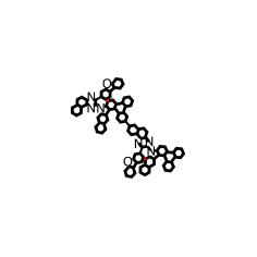 c1ccc2cc3c(cc2c1)c1c2c4ccccc4c4ccccc4c2ccc1n3-c1nc2ccc3cc(-c4ccc5c(c4)c4ccccc4c4ccc6c(c7cc8ccccc8cc7n6-c6nc7c(ccc8ccccc87)nc6-c6ccc7c(c6)oc6ccccc67)c45)ccc3c2nc1-c1ccc2c(c1)oc1ccccc12